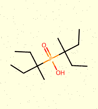 CCC(C)(CC)P(=O)(O)C(C)(CC)CC